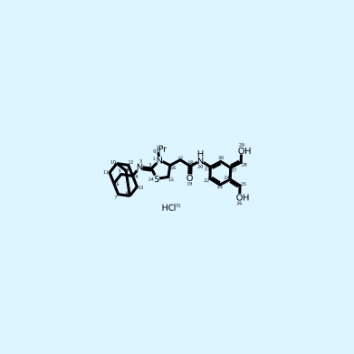 CC(C)N1C(=NC23CC4CC(CC(C4)C2)C3)SCC1CC(=O)Nc1ccc(=CO)c(=CO)c1.Cl